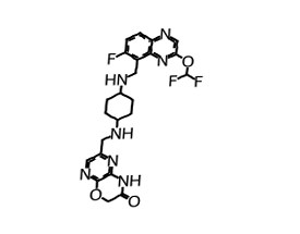 O=C1COc2ncc(CNC3CCC(NCc4c(F)ccc5ncc(OC(F)F)nc45)CC3)nc2N1